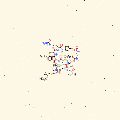 CC[C@H](C)C([C@@H](CC(=O)N1C[C@@H](OC(=O)N(C)CCN(C)C(=O)OCc2ccc(NC(=O)[C@H](CCCNC(N)=O)NC(=O)[C@@H](NC(=O)CCCCCN3C(=O)CC(SCC4(CC(=O)O)CC4)C3=O)C(C)C)cc2)C[C@H]1[C@H](OC)[C@@H](C)C(=O)NCC(=O)c1ccc(OC)c(F)c1)OC)N(C)C(=O)[C@@H](NC(=O)[C@H](C(C)C)N(C)C)C(C)C